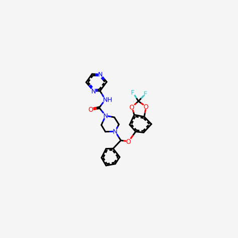 O=C(Nc1cnccn1)N1CCN(C(Oc2ccc3c(c2)OC(F)(F)O3)c2ccccc2)CC1